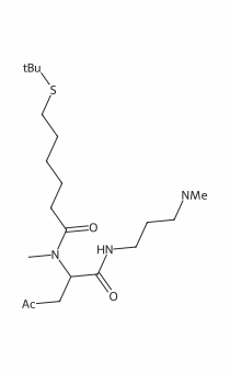 CNCCCNC(=O)C(CC(C)=O)N(C)C(=O)CCCCCSC(C)(C)C